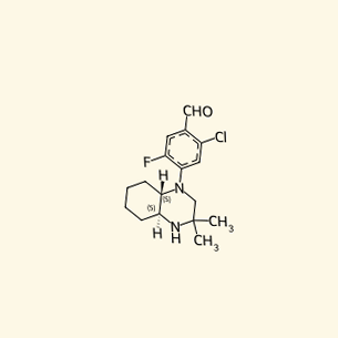 CC1(C)CN(c2cc(Cl)c(C=O)cc2F)[C@H]2CCCC[C@@H]2N1